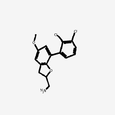 COc1cc2c(c(-c3cccc(Cl)c3Cl)c1)OC(CN)C2